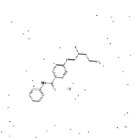 Cl.NC/C=C(/F)COc1ccc(C(=O)Nc2ccccc2)cc1